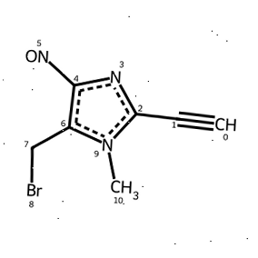 C#Cc1nc(N=O)c(CBr)n1C